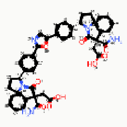 NC(=O)C(CC(=O)O)(C(=O)N1CCC[C@H]1c1ccc(-c2ncc(-c3ccc([C@@H]4CCCN4C(=O)[C@@](CC(=O)O)(C(N)=O)c4ccccc4)cc3)o2)cc1)c1ccccc1